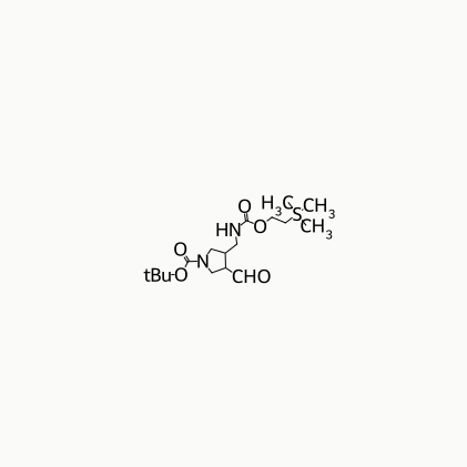 CC(C)(C)OC(=O)N1CC(C=O)C(CNC(=O)OCCS(C)(C)C)C1